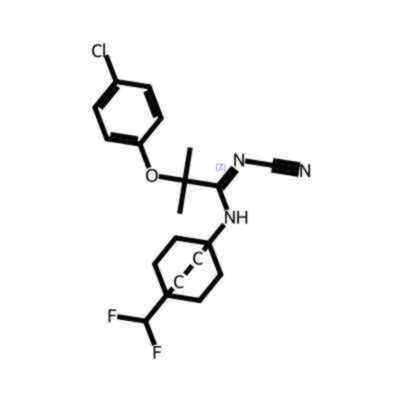 CC(C)(Oc1ccc(Cl)cc1)/C(=N/C#N)NC12CCC(C(F)F)(CC1)CC2